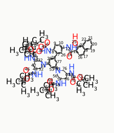 CC(C)(C)OC(=O)Nc1ccc(NC(=O)c2ccc3ccccc3c2O)cc1-c1cc(N2CC(NC(=O)OC(C)(C)C)CC(NC(=O)OC(C)(C)C)C2)cc(N2CC(NC(=O)OC(C)(C)C)CC(NC(=O)OC(C)(C)C)C2)c1